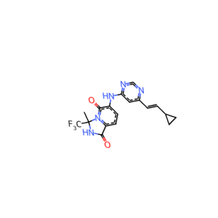 CC1(C(F)(F)F)NC(=O)c2ccc(Nc3cc(/C=C/C4CC4)ncn3)c(=O)n21